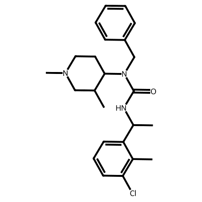 Cc1c(Cl)cccc1C(C)NC(=O)N(Cc1ccccc1)C1CCN(C)CC1C